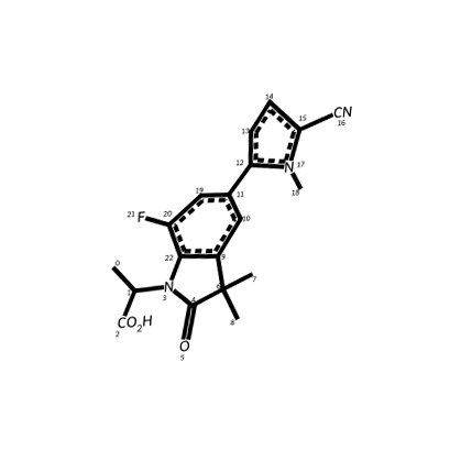 CC(C(=O)O)N1C(=O)C(C)(C)c2cc(-c3ccc(C#N)n3C)cc(F)c21